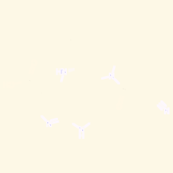 C[C@@H]1CCN(C(=O)CC#N)C[C@@H]1Nc1c(C(=O)O)cnc2[nH]ccc12